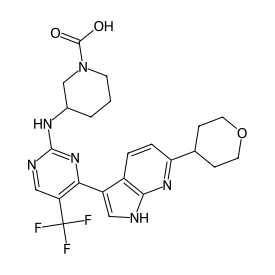 O=C(O)N1CCCC(Nc2ncc(C(F)(F)F)c(-c3c[nH]c4nc(C5CCOCC5)ccc34)n2)C1